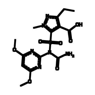 CCc1nn(C)c(S(=O)(=O)N(C(N)=O)c2nc(OC)cc(OC)n2)c1C(=O)O